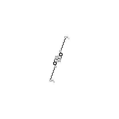 CCCCCCCCCCOc1ccc(/C=N\CC/N=C\c2ccc(OCCCCCCCCCC)cc2O)c(O)c1